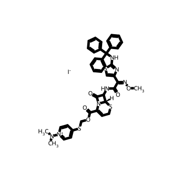 CO/N=C(\C(=O)NC1C(=O)N2C(C(=O)OCSc3cc[n+](N(C)C)cc3)=CCS[C@@H]12)c1csc(NC(c2ccccc2)(c2ccccc2)c2ccccc2)n1.[I-]